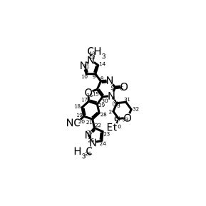 CC[C@H]1C[C@@H](n2c(=O)nc(-c3cnn(C)c3)c3oc4cc(C#N)c(-c5ccn(C)n5)cc4c32)CCO1